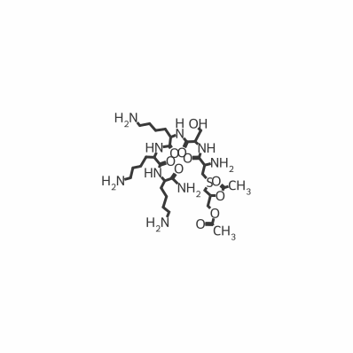 CC(=O)OCC(CSCC(N)C(=O)NC(CO)C(=O)NC(CCCCN)C(=O)NC(CCCCN)C(=O)NC(CCCCN)C(N)=O)OC(C)=O